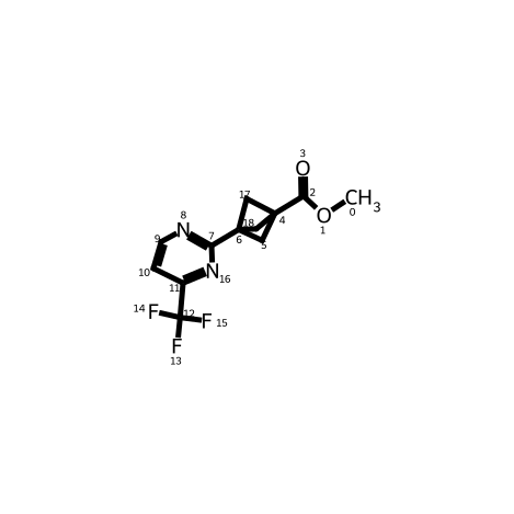 COC(=O)C12CC(c3nccc(C(F)(F)F)n3)(C1)C2